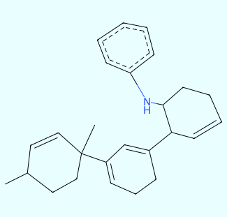 CC1C=CC(C)(C2=CCCC(C3C=CCCC3Nc3ccccc3)=C2)CC1